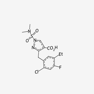 CCc1cc(Cc2nn(S(=O)(=O)N(C)C)cc2C(=O)O)c(Cl)cc1F